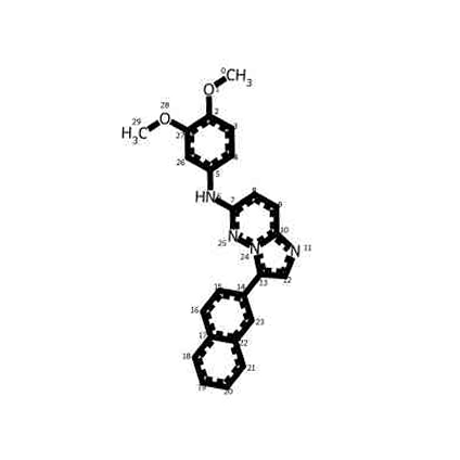 COc1ccc(Nc2ccc3ncc(-c4ccc5ccccc5c4)n3n2)cc1OC